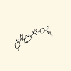 Cc1ccnc(Nc2cccc(-c3cnc(N4CCC(C(N)=O)CC4)s3)n2)c1